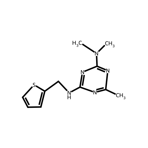 Cc1nc(NCc2cccs2)nc(N(C)C)n1